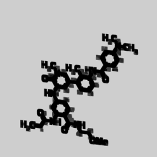 C=CC(=O)Nc1cc(Nc2cc(-c3cccc(NC(=O)c4ccc(N(C)C)cc4)c3C)cn(C)c2=O)ccc1C(=O)NCCOC